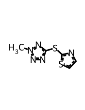 Cn1nnc(Sc2nccs2)n1